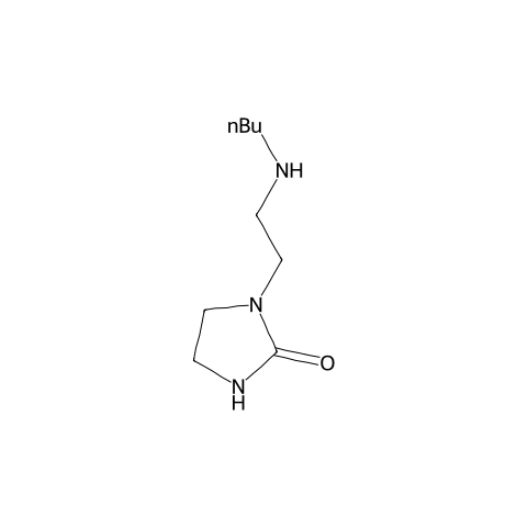 CCCCNCCN1CCNC1=O